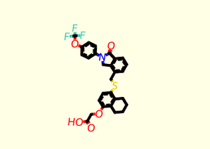 O=C(O)COc1ccc(SCc2cccc3c2CN(c2ccc(OC(F)(F)F)cc2)C3=O)c2c1CCCC2